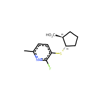 Cc1ccc(S[C@H]2CCC[C@@H]2C(=O)O)c(F)n1